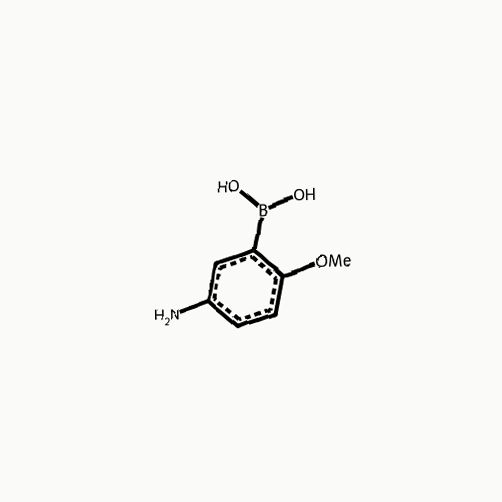 COc1ccc(N)cc1B(O)O